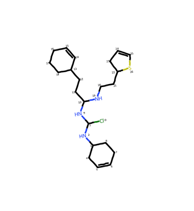 ClC(NC1CC=CCC1)NC(CCC1C=CCCC1)NCCC1CC=CS1